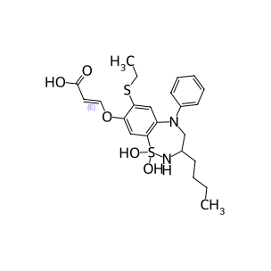 CCCCC1CN(c2ccccc2)c2cc(SCC)c(O/C=C/C(=O)O)cc2S(O)(O)N1